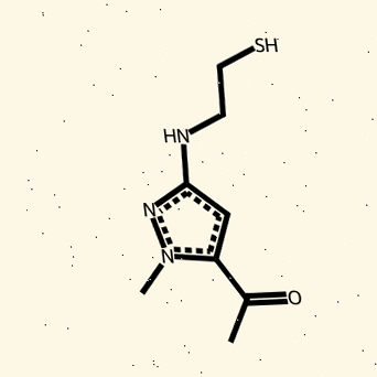 CC(=O)c1cc(NCCS)nn1C